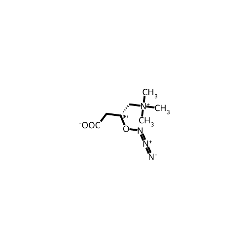 C[N+](C)(C)C[C@@H](CC(=O)[O-])ON=[N+]=[N-]